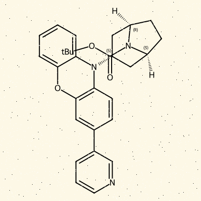 CC(C)(C)OC(=O)N1[C@@H]2CC[C@H]1C[C@H](N1c3ccccc3Oc3cc(-c4cccnc4)ccc31)C2